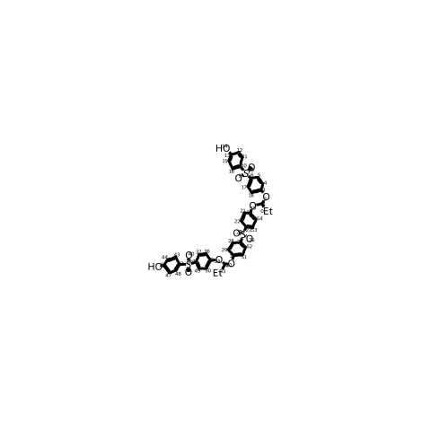 CCC(Oc1ccc(S(=O)(=O)c2ccc(O)cc2)cc1)Oc1ccc(S(=O)(=O)c2ccc(OC(CC)Oc3ccc(S(=O)(=O)c4ccc(O)cc4)cc3)cc2)cc1